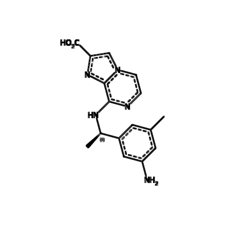 Cc1cc(N)cc([C@@H](C)Nc2nccn3cc(C(=O)O)nc23)c1